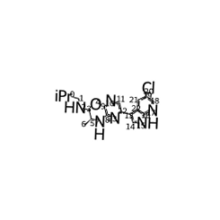 CC(C)CNC(=O)[C@H](C)Nc1cncc(-c2c[nH]c3ncc(Cl)cc23)n1